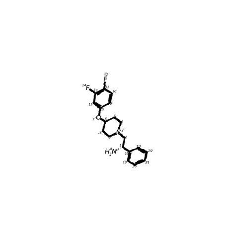 N[C@H](CN1CCC(Oc2ccc(F)c(F)c2)CC1)c1ccccc1